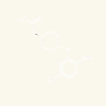 COc1ccc(N)cc1O[C@H]1CC[C@H](OC(N)=O)CC1